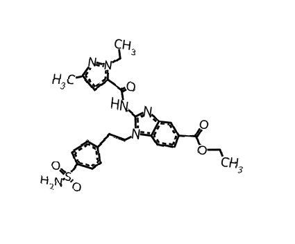 CCOC(=O)c1ccc2c(c1)nc(NC(=O)c1cc(C)nn1CC)n2CCc1ccc(S(N)(=O)=O)cc1